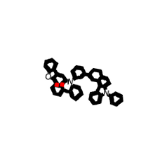 C1=C(c2cccc(N(c3ccc4oc5ccccc5c4c3)c3ccccc3-c3ccccc3)c2)CCc2ccc3c(c21)c1ccccc1n3-c1ccccc1